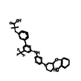 CC(C)(Cc1cccc(-c2cc(C(F)(F)F)cc(Nc3cncc(N4CCCC(OC5=C(O)CCC=C5)C4)n3)n2)c1)C(=O)O